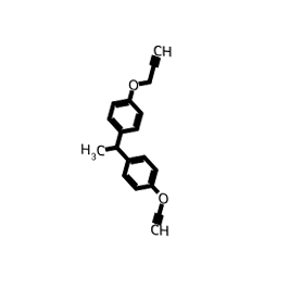 C#CCOc1ccc(C(C)c2ccc(OC#C)cc2)cc1